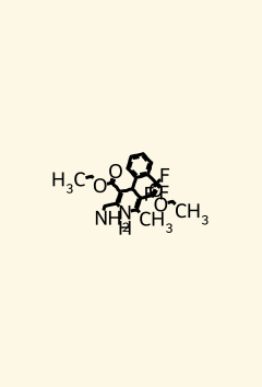 CCOC(=O)C1=C(C)NC(CN)=C(C(=O)OCC)C1c1ccccc1C(F)(F)F